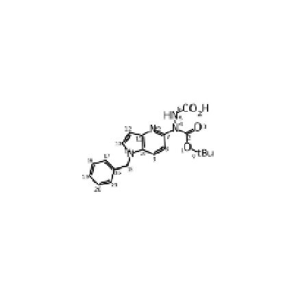 CC(C)(C)OC(=O)N(NC(=O)O)c1ccc2c(ccn2Cc2ccccc2)n1